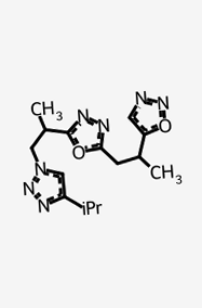 CC(C)c1cn(CC(C)c2nnc(CC(C)c3cnno3)o2)nn1